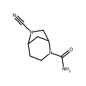 N#CN1CC2CC1CCN2C(N)=O